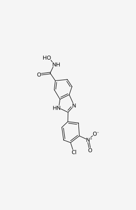 O=C(NO)c1ccc2nc(-c3ccc(Cl)c([N+](=O)[O-])c3)[nH]c2c1